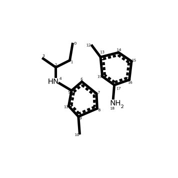 CCC(C)Nc1cccc(C)c1.Cc1cccc(N)c1